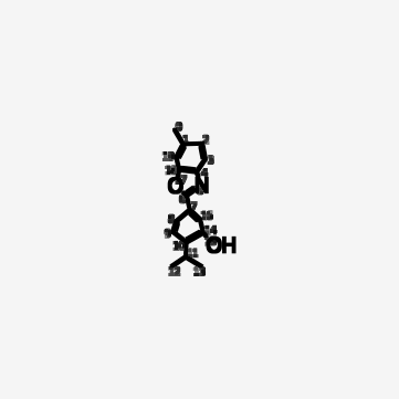 Cc1ccc2nc(-c3ccc(C(C)C)c(O)c3)oc2c1